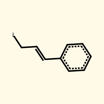 IC/C=C/c1ccccc1